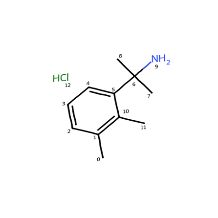 Cc1cccc(C(C)(C)N)c1C.Cl